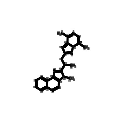 Cc1ncc(C)n2nc(CC(C)c3nc4c5ccccc5ccc4n3C)nc12